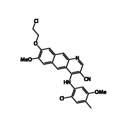 COc1cc(Nc2c(C#N)cnc3cc4cc(OCCCl)c(OC)cc4cc23)c(Cl)cc1C